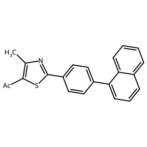 CC(=O)c1sc(-c2ccc(-c3cccc4ccccc34)cc2)nc1C